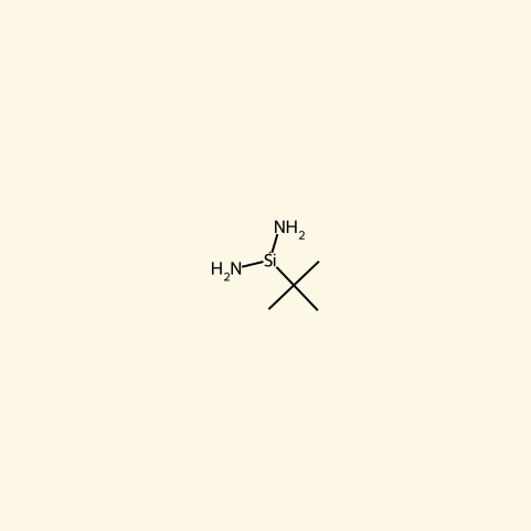 CC(C)(C)[Si](N)N